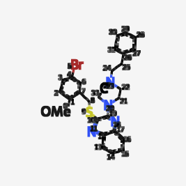 COc1ccc(Br)cc1CSc1nc2ccccc2nc1N1CCN(CCc2ccccc2)CC1